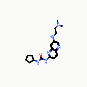 CN(C)CCNc1cnc2ccc(NC(=O)NC3CCCC3)nc2c1